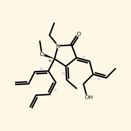 C=C/C=C\C(=C/C=C)[C@@]1(OC)C(=C/C)/C(=C\C(=C/C)CO)C(=O)N1CC